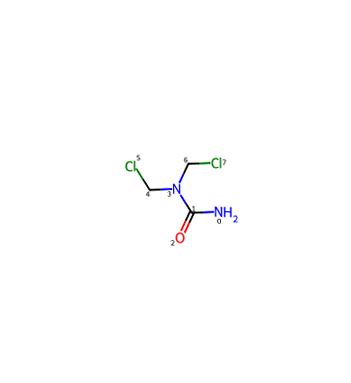 NC(=O)N(CCl)CCl